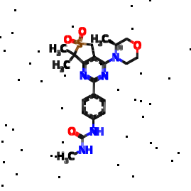 CNC(=O)Nc1ccc(-c2nc(N3CCOC[C@@H]3C)c3c(n2)C(C)(C)S(=O)(=O)C3)cc1